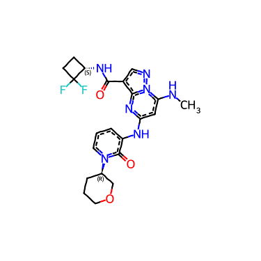 CNc1cc(Nc2cccn([C@@H]3CCCOC3)c2=O)nc2c(C(=O)N[C@H]3CCC3(F)F)cnn12